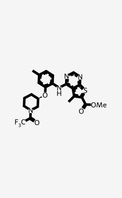 COC(=O)c1sc2ncnc(Nc3ccc(C)cc3O[C@H]3CCCN(C(=O)C(F)(F)F)C3)c2c1C